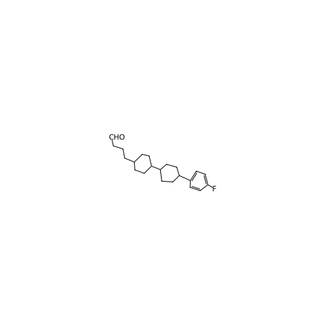 O=CCCCC1CCC(C2CCC(c3ccc(F)cc3)CC2)CC1